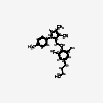 Cc1ccc(-n2nc(C)c(C#N)c2COc2c(F)cc(CCCO)cc2F)cc1